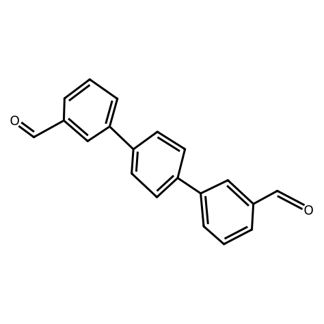 O=Cc1cccc(-c2ccc(-c3cccc(C=O)c3)cc2)c1